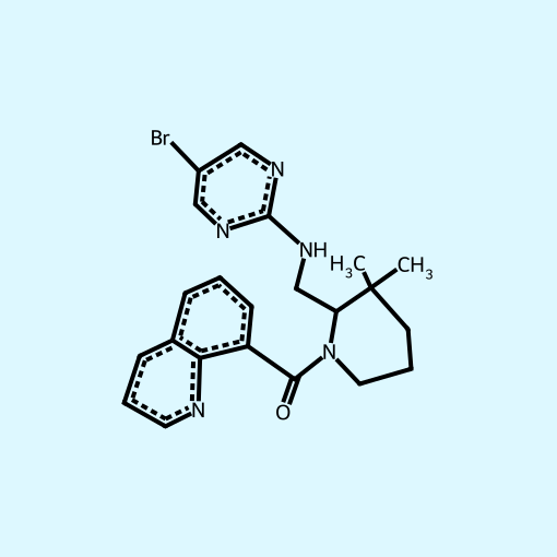 CC1(C)CCCN(C(=O)c2cccc3cccnc23)C1CNc1ncc(Br)cn1